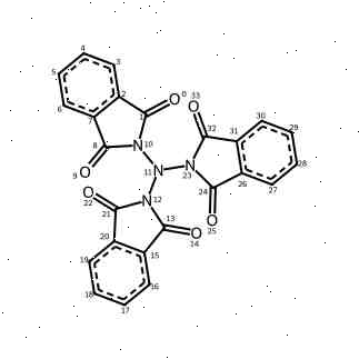 O=C1c2ccccc2C(=O)N1N(N1C(=O)c2ccccc2C1=O)N1C(=O)c2ccccc2C1=O